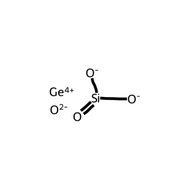 O=[Si]([O-])[O-].[Ge+4].[O-2]